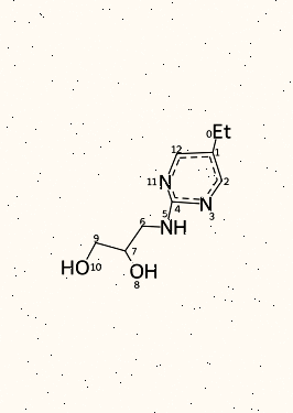 CCc1cnc(NCC(O)CO)nc1